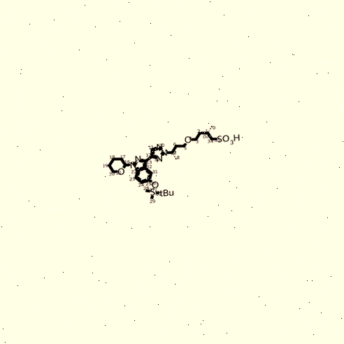 C[C@@H](CCOCC[C@H](C)n1ncc(-c2nn(C3CCCCO3)c3ccc(O[Si](C)(C)C(C)(C)C)cc23)n1)CS(=O)(=O)O